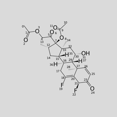 CC(=O)OCC(=O)[C@@]1(OC(C)=O)[C@@H](C)C[C@H]2[C@@H]3CC(F)=C4[C@H](F)C(=O)C=C[C@]4(C)[C@H]3[C@@H](O)C[C@@]21C